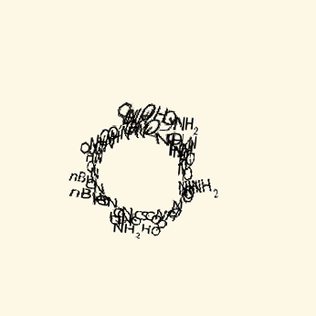 CCCC[C@H]1C(=O)N(C)[C@@H](CCCC)C(=O)N[C@@H](C)C(=O)N[C@H](C(=O)NCC(N)=O)CSCC(=O)N[C@@H](Cc2ccc(O)cc2)C(=O)N(C)[C@@H](C)C(=O)N[C@@H](CC(N)=O)C(=O)N2CCOC[C@H]2C(=O)N[C@@H](Cc2cnc[nH]2)C(=O)N[C@@H](CCC(N)=O)C(=O)N2C[C@H](O)C[C@H]2C(=O)N[C@@H](Cc2c[nH]c3ccccc23)C(=O)N[C@@H](CO)C(=O)N[C@@H](Cc2c[nH]c3ccccc23)C(=O)N1C